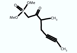 CC#CCC(C)C(=O)CP(=O)(OC)OC